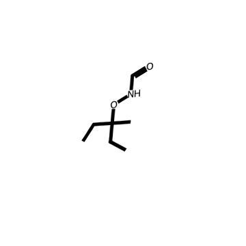 CCC(C)(CC)ONC=O